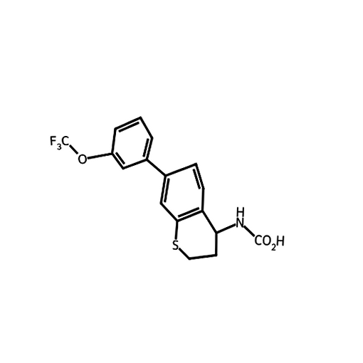 O=C(O)NC1CCSc2cc(-c3cccc(OC(F)(F)F)c3)ccc21